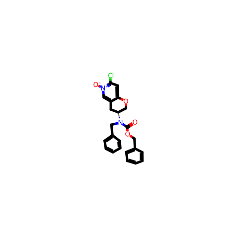 O=C(OCc1ccccc1)N(Cc1ccccc1)[C@H]1COc2cc(Cl)[n+]([O-])cc2C1